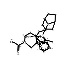 CC(=O)N[C@@H](CCN1C2CCC1CC(n1c(C)nc3c1CCN(C(=O)C(C)C)C3)C2)c1cncs1